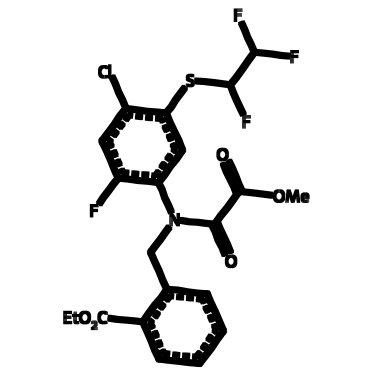 CCOC(=O)c1ccccc1CN(C(=O)C(=O)OC)c1cc(SC(F)C(F)F)c(Cl)cc1F